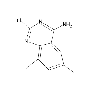 Cc1cc(C)c2nc(Cl)nc(N)c2c1